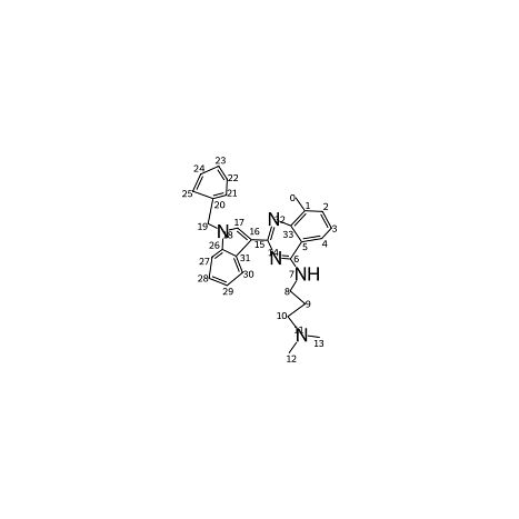 Cc1cccc2c(NCCCN(C)C)nc(-c3cn(Cc4ccccc4)c4ccccc34)nc12